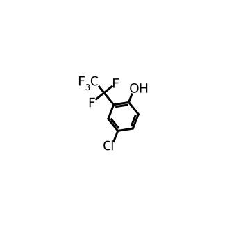 Oc1ccc(Cl)cc1C(F)(F)C(F)(F)F